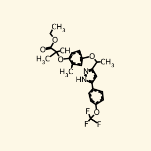 CCOC(=O)C(C)(C)Oc1ccc(OC(C)c2cc(-c3ccc(OC(F)(F)F)cc3)[nH]n2)cc1C